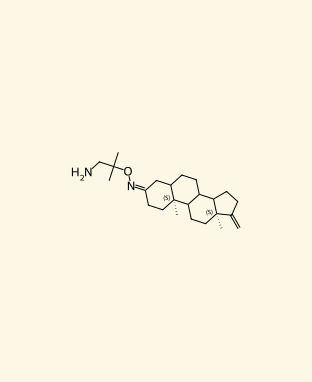 C=C1CCC2C3CCC4CC(=NOC(C)(C)CN)CC[C@]4(C)C3CC[C@]12C